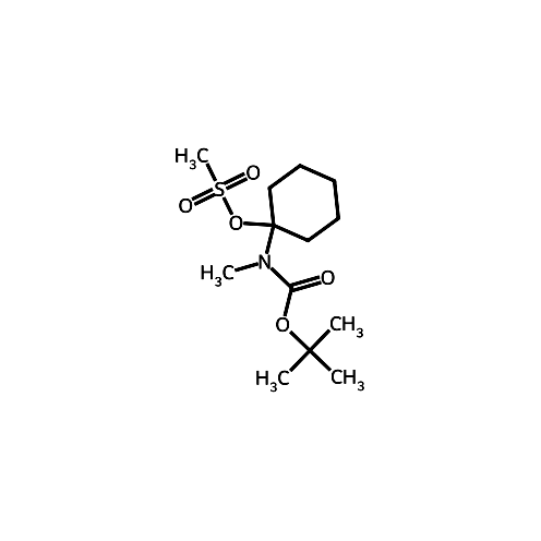 CN(C(=O)OC(C)(C)C)C1(OS(C)(=O)=O)CCCCC1